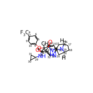 CC(C)(Oc1ccc(C(F)(F)F)cc1)C(=O)N[C@H]1C[C@H]2CC[C@@H](C1)N2c1ccc(C(=O)NC2CC2)cn1